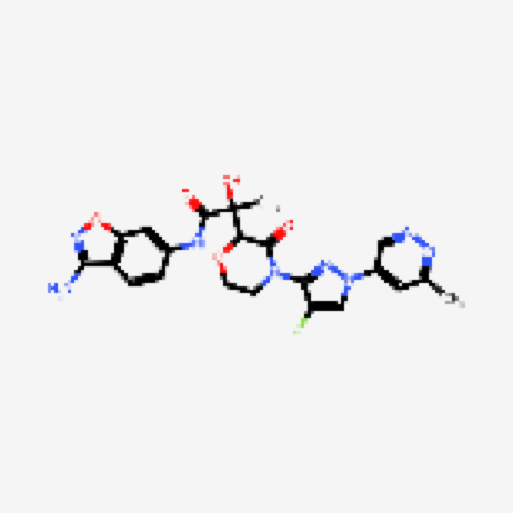 CC(O)(C(=O)Nc1ccc2c(N)noc2c1)C1OCCN(c2nn(-c3cnnc(C(F)(F)F)c3)cc2F)C1=O